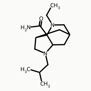 CCN1CC2CC3CN(CC(C)C)C(C2)C31C(N)=O